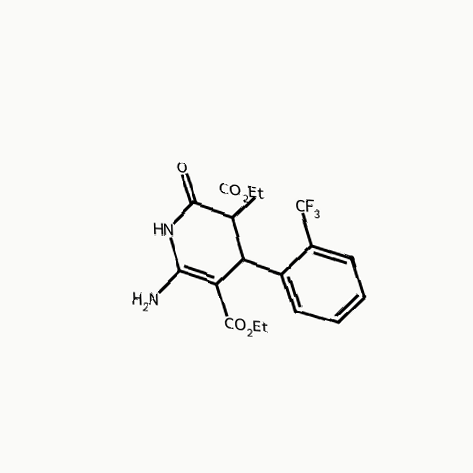 CCOC(=O)C1=C(N)NC(=O)C(C(=O)OCC)C1c1ccccc1C(F)(F)F